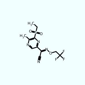 CCS(=O)(=O)c1nc(/C(C#N)=N/OCC(F)(F)F)cnc1C